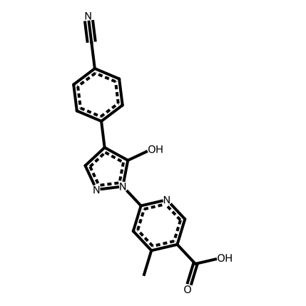 Cc1cc(-n2ncc(-c3ccc(C#N)cc3)c2O)ncc1C(=O)O